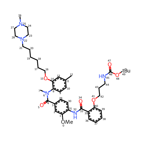 COc1cc(C(=O)N(C)c2ccc(C)cc2OCCCCCCN2CCN(C)CC2)ccc1NC(=O)c1ccccc1OCCCNC(=O)OC(C)(C)C